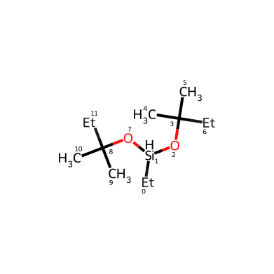 CC[SiH](OC(C)(C)CC)OC(C)(C)CC